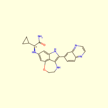 NC(=O)[C@@H](Nc1cc2c3c(c(-c4ccc5nccnc5c4)[nH]c3c1)NCCO2)C1CC1